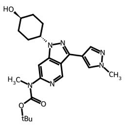 CN(C(=O)OC(C)(C)C)c1cc2c(cn1)c(-c1cnn(C)c1)nn2[C@H]1CC[C@H](O)CC1